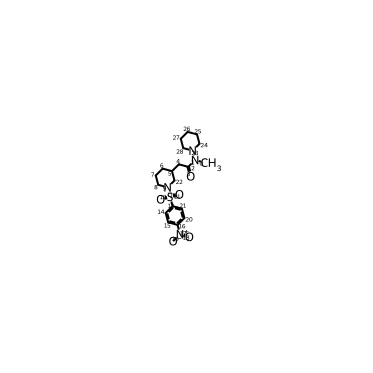 CN(C(=O)CC1CCCN(S(=O)(=O)c2ccc([N+](=O)[O-])cc2)C1)N1CCCCC1